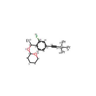 CCC(OC1CCCCO1)c1ccc(C#C[Si](C(C)C)(C(C)C)C(C)C)cc1F